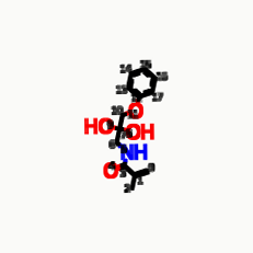 C=C(C)C(=O)NCC(O)(O)COc1ccccc1